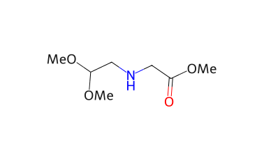 COC(=O)CNCC(OC)OC